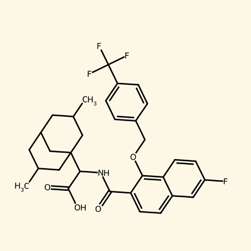 CC1CC2CC(C)CC(C(NC(=O)c3ccc4cc(F)ccc4c3OCc3ccc(C(F)(F)F)cc3)C(=O)O)(C1)C2